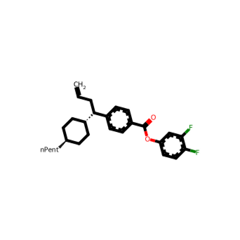 C=CCC(c1ccc(C(=O)Oc2ccc(F)c(F)c2)cc1)[C@H]1CC[C@H](CCCCC)CC1